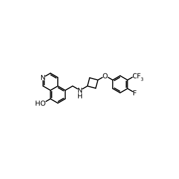 Oc1ccc(CNC2CC(Oc3ccc(F)c(C(F)(F)F)c3)C2)c2ccncc12